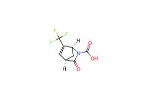 O=C(O)N1C(=O)[C@H]2C=C(C(F)(F)F)[C@@H]1C2